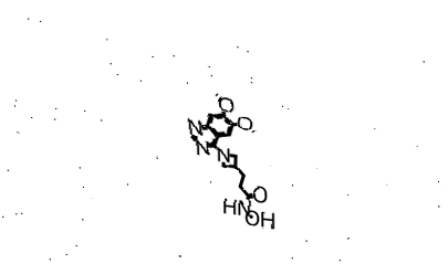 COc1cc2ncnc(N3CC(CCC(=O)NO)C3)c2cc1OC